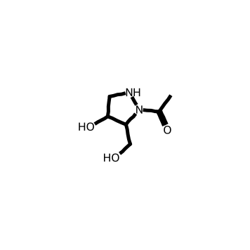 CC(=O)N1NCC(O)C1CO